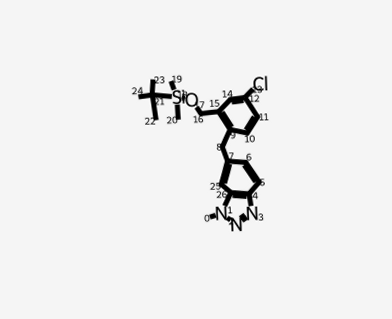 Cn1nnc2ccc(Cc3ccc(Cl)cc3CO[Si](C)(C)C(C)(C)C)cc21